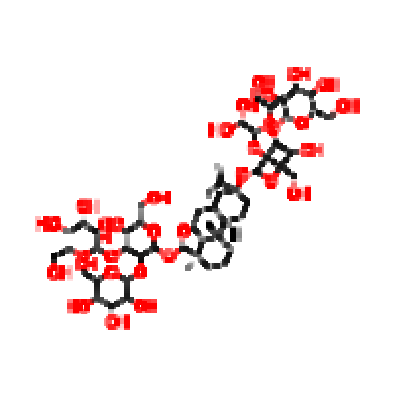 C=C1C[C@@]23CCC4[C@](C)(C(=O)OC5OC(CO)C(O)C(OC6OC(CO)C(O)C(O)C6O)C5OC5OC(CO)C(O)C(O)C5O)CCC[C@@]4(C)[C@@H]2CC[C@]1(OC1OC2(CO)C(O)C(OC4OC(CO)C(O)C(O)C4O)C12OC(OC(C)CO)C(O)O)C3